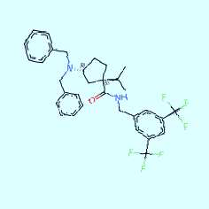 CC(C)[C@]1(C(=O)NCc2cc(C(F)(F)F)cc(C(F)(F)F)c2)CC[C@@H](N(Cc2ccccc2)Cc2ccccc2)C1